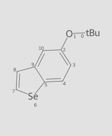 CC(C)(C)Oc1ccc2[se]ccc2c1